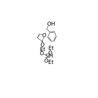 CCO[SiH](OCC)OCC.O=C1C=CO1.OCc1ccccc1